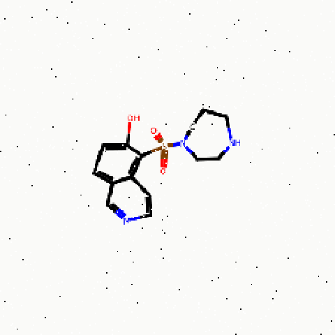 O=S(=O)(c1c(O)ccc2cnccc12)N1CCCNCC1